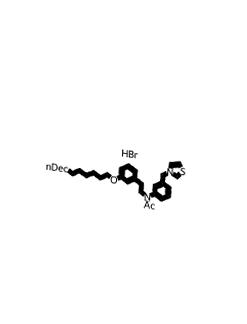 Br.CCCCCCCCCCCCCCCCOc1cccc(CCN(C(C)=O)c2cccc(CN3C=CSC3)c2)c1